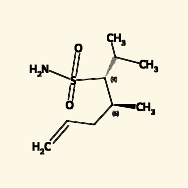 C=CC[C@H](C)[C@@H](C(C)C)S(N)(=O)=O